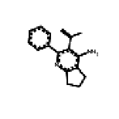 C=C(C)c1c(-c2ccccc2)nc2c(c1N)CCC2